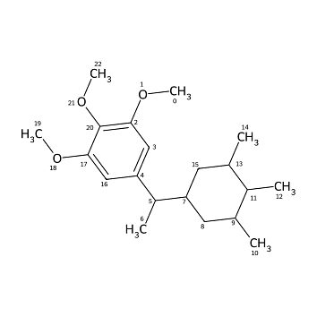 COc1cc(C(C)C2CC(C)C(C)C(C)C2)cc(OC)c1OC